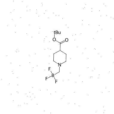 CC(C)(C)OC(=O)C1CCN(C[B-](F)(F)F)CC1